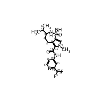 CC(C)C1CCc2c(cn(C)c2C(=O)Nc2ccnc(C(F)F)c2)S(=N)(=O)N1